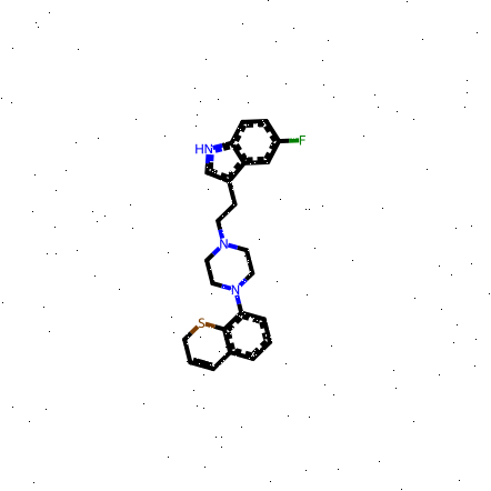 Fc1ccc2[nH]cc(CCN3CCN(c4cccc5c4SCC=C5)CC3)c2c1